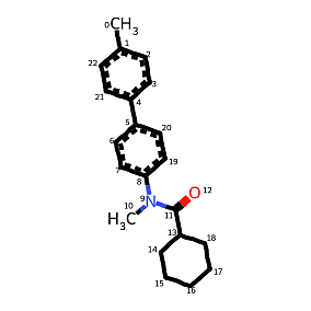 Cc1ccc(-c2ccc(N(C)C(=O)C3CCCCC3)cc2)cc1